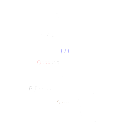 O=C(C=C(Sc1ccccc1)C(F)(F)F)Nc1ccccc1